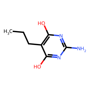 CCCc1c(O)nc(N)nc1O